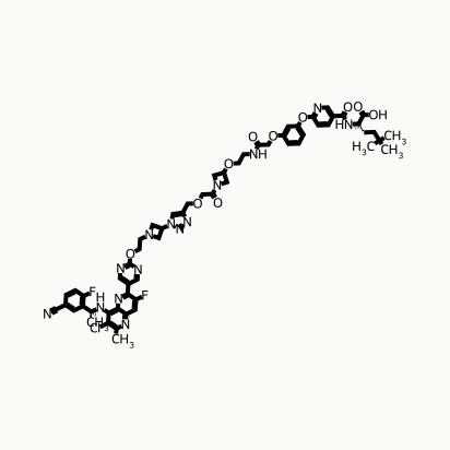 Cc1nc2cc(F)c(-c3cnc(OCCN4CC(n5cc(COCC(=O)N6CC(OCCNC(=O)COc7cccc(Oc8ccc(C(=O)N[C@@H](CCC(C)(C)C)C(=O)O)cn8)c7)C6)nn5)C4)nc3)nc2c(N[C@H](C)c2cc(C#N)ccc2F)c1Cl